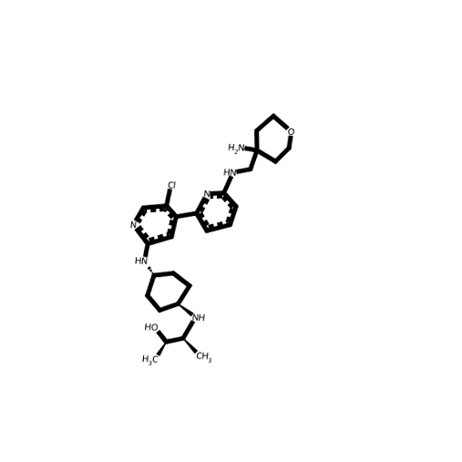 C[C@H](N[C@H]1CC[C@H](Nc2cc(-c3cccc(NCC4(N)CCOCC4)n3)c(Cl)cn2)CC1)[C@@H](C)O